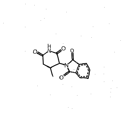 CC1CC(=O)NC(=O)C1N1C(=O)c2ccccc2C1=O